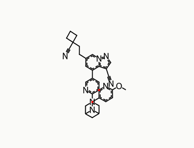 COc1ccc(CN2C3CC2CN(c2ccc(-c4cc(CCC5(C#N)CCC5)cn5ncc(C#N)c45)cn2)C3)cn1